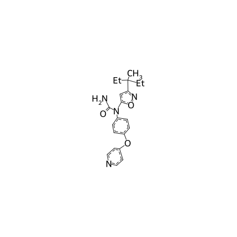 CCC(C)(CC)c1cc(N(C(N)=O)c2ccc(Oc3ccncc3)cc2)on1